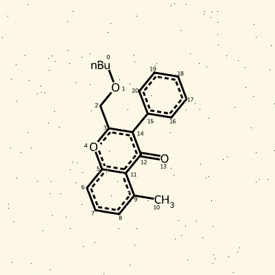 CCCCOCc1oc2cccc(C)c2c(=O)c1-c1ccccc1